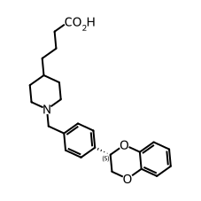 O=C(O)CCCC1CCN(Cc2ccc([C@H]3COc4ccccc4O3)cc2)CC1